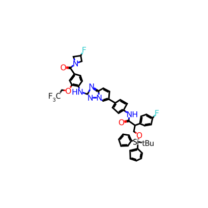 CC(C)(C)[Si](OCC(C(=O)Nc1ccc(-c2ccc3nc(Nc4ccc(C(=O)N5CC(F)C5)cc4OCC(F)(F)F)nn3c2)cc1)c1ccc(F)cc1)(c1ccccc1)c1ccccc1